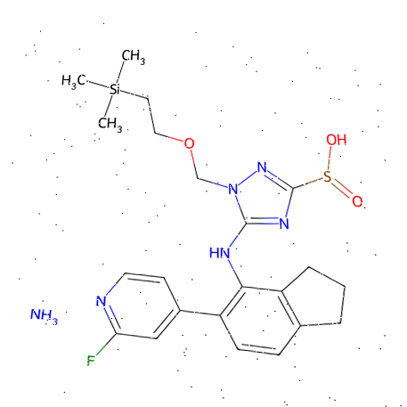 C[Si](C)(C)CCOCn1nc(S(=O)O)nc1Nc1c(-c2ccnc(F)c2)ccc2c1CCC2.N